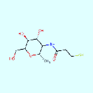 C[C@@H]1OC(CO)[C@@H](O)[C@H](O)C1NC(=O)CCS